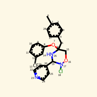 Cc1ccc(CC2(Oc3cccc(C(F)(F)F)c3)CON(Cl)C(c3ccncc3)N2)cc1